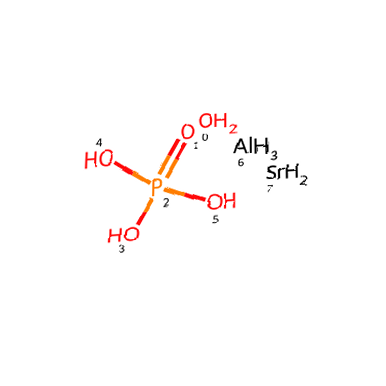 O.O=P(O)(O)O.[AlH3].[SrH2]